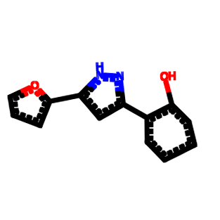 Oc1ccccc1-c1cc(-c2ccco2)[nH]n1